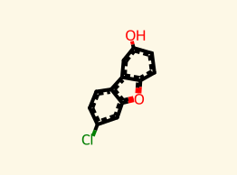 Oc1ccc2oc3cc(Cl)ccc3c2c1